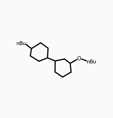 CCCCOC1CCCC(C2CCC(CCCC)CC2)C1